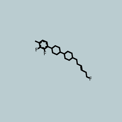 Cc1ccc(C2CCC(C3CCC(CC/C=C/CCF)CC3)CC2)c(F)c1F